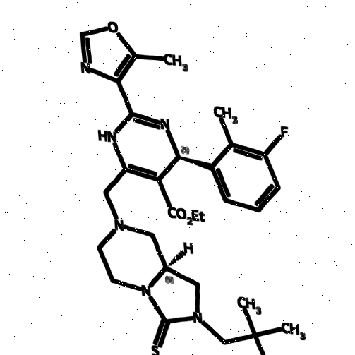 CCOC(=O)C1=C(CN2CCN3C(=S)N(CC(C)(C)C(=O)O)C[C@@H]3C2)NC(c2ncoc2C)=N[C@H]1c1cccc(F)c1C